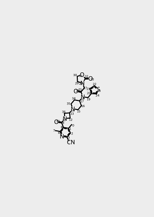 Cc1cc(C#N)nc(C)c1C(=O)N1CC(N2CCC(N(Cc3ccsc3)C(=O)CN3CCOC3=O)CC2)C1